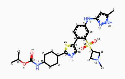 Cc1cc(Nc2ccc(-c3cnc(C4CCC(NC(=O)OC(C)C)CC4)s3)c(S(=O)(=O)C3CN(C)C3)c2)n[nH]1